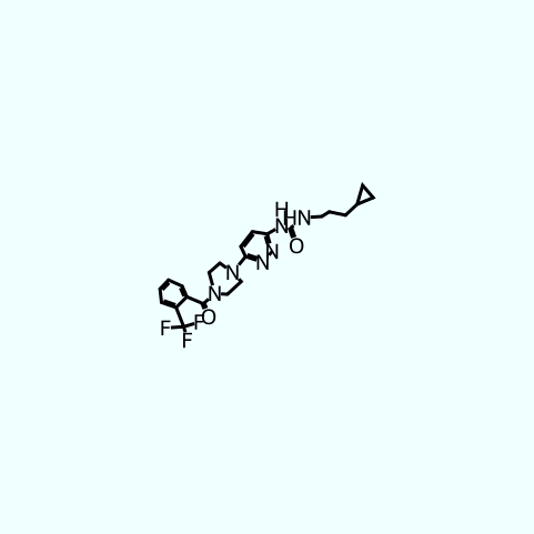 O=C(NCCCC1CC1)Nc1ccc(N2CCN(C(=O)c3ccccc3C(F)(F)F)CC2)nn1